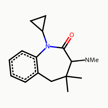 CNC1C(=O)N(C2CC2)c2ccccc2CC1(C)C